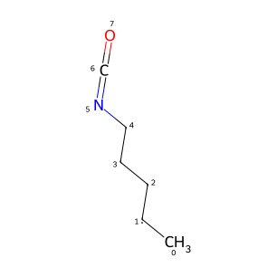 C[CH]CCCN=C=O